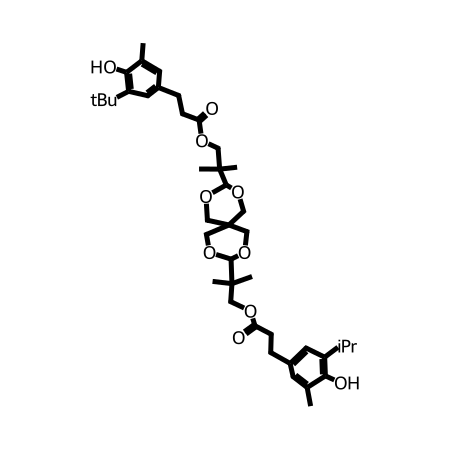 Cc1cc(CCC(=O)OCC(C)(C)C2OCC3(CO2)COC(C(C)(C)COC(=O)CCc2cc(C)c(O)c(C(C)(C)C)c2)OC3)cc(C(C)C)c1O